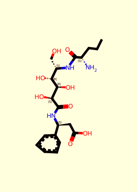 CCC[C@H](N)C(=O)N[C@@H](CO)[C@@H](O)[C@@H](O)[C@H](O)C(=O)N[C@@H](CC(=O)O)c1ccccc1